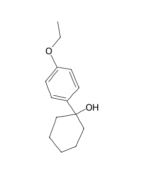 CCOc1ccc(C2(O)CCCCC2)cc1